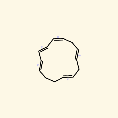 [CH]1/C=C/C=C/C=C\C/C=C/C/C=C/C1